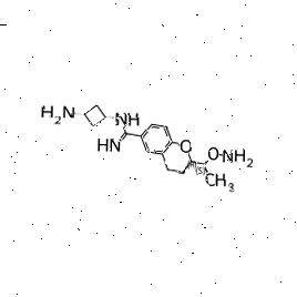 C[C@H](ON)[C@H]1CCc2cc(C(=N)N[C@H]3C[C@@H](N)C3)ccc2O1